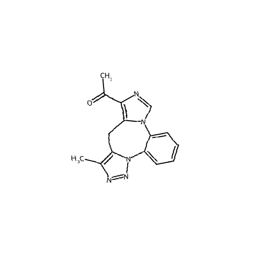 CC(=O)c1ncn2c1Cc1c(C)nnn1-c1ccccc1-2